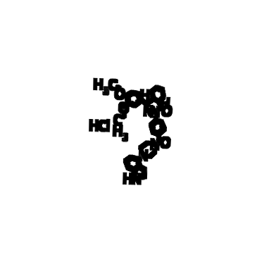 CCOc1ccc(C2=NN(c3ccc(C(=O)N4CCN(c5cccc6[nH]ccc56)CC4)cc3)C(=O)[C@@H]3CC=CC[C@H]23)cc1OCC.Cl